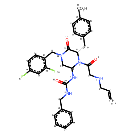 C=CCNCC(=O)N1C(NC(=O)NCc2ccccc2)CN(Cc2ccc(F)cc2F)C(=O)[C@@H]1Cc1ccc(C(=O)O)cc1